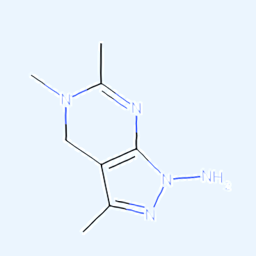 CC1=Nc2c(c(C)nn2N)CN1C